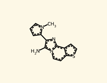 Cn1cccc1-c1nc2c3ccsc3ccn2c1N